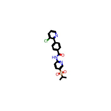 CC(C)S(=O)(=O)c1ccc(NC(=O)c2ccc(-c3ncccc3Cl)cc2)nc1